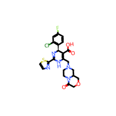 O=C(O)C1=C(CN2CCN3C(=O)COCC3C2)NC(c2nccs2)=N[C@H]1c1ccc(F)cc1Cl